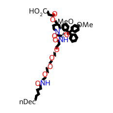 CCCCCCCCCCCCCCCC(=O)NCCOCCOCCOCCOCCC(=O)N[C@@H](COC(c1ccccc1)(c1ccc(OC)cc1)c1ccc(OC)cc1)C(=O)N1CCC(COC(=O)CCC(=O)O)CC1